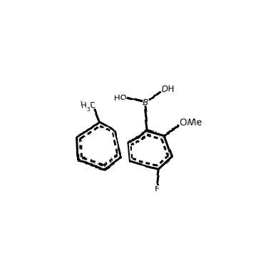 COc1cc(F)ccc1B(O)O.Cc1ccccc1